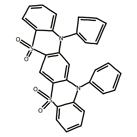 O=S1(=O)c2ccccc2N(c2ccccc2)c2cc3c(cc21)S(=O)(=O)c1ccccc1N3c1ccccc1